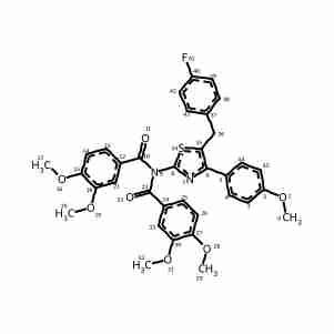 COc1ccc(-c2nc(N(C(=O)c3ccc(OC)c(OC)c3)C(=O)c3ccc(OC)c(OC)c3)sc2Cc2ccc(F)cc2)cc1